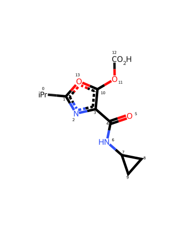 CC(C)c1nc(C(=O)NC2CC2)c(OC(=O)O)o1